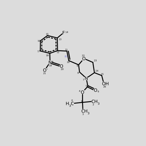 CC(C)(C)OC(=O)N1CC(/C=C/c2c(F)cccc2[N+](=O)[O-])OCC1CO